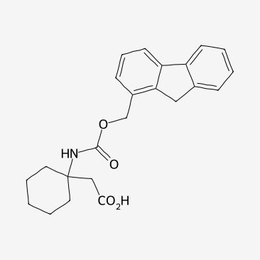 O=C(O)CC1(NC(=O)OCc2cccc3c2Cc2ccccc2-3)CCCCC1